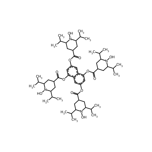 CC(C)C1CC(C(=O)Oc2cc(OC(=O)C3CC(C(C)C)N(O)C(C(C)C)C3)c3cc(OC(=O)C4CC(C(C)C)N(O)C(C(C)C)C4)cc(OC(=O)C4CC(C(C)C)N(O)C(C(C)C)C4)c3c2)CC(C(C)C)N1O